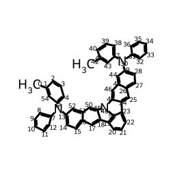 Cc1cccc(N(c2ccccc2)c2ccc3cc4c5cccc6c7cc8ccc(N(c9ccccc9)c9cccc(C)c9)cc8cc7n(c4cc3c2)c56)c1